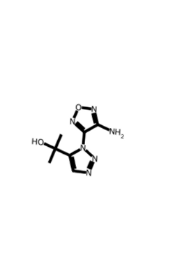 CC(C)(O)c1cnnn1-c1nonc1N